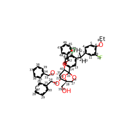 [2H]C([2H])(c1ccc(OCC)c(F)c1)c1cc(C23OC[C@@](CO)(O2)[C@@H](OCc2ccccc2)[C@H](OCc2ccccc2)[C@H]3OCc2ccccc2)ccc1Cl